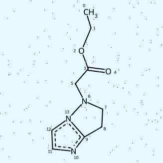 CCOC(=O)CN1CCc2nccn21